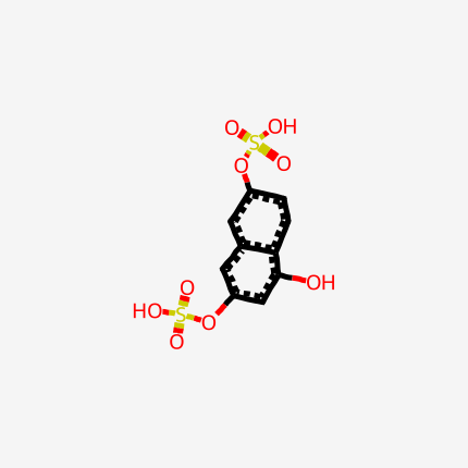 O=S(=O)(O)Oc1ccc2c(O)cc(OS(=O)(=O)O)cc2c1